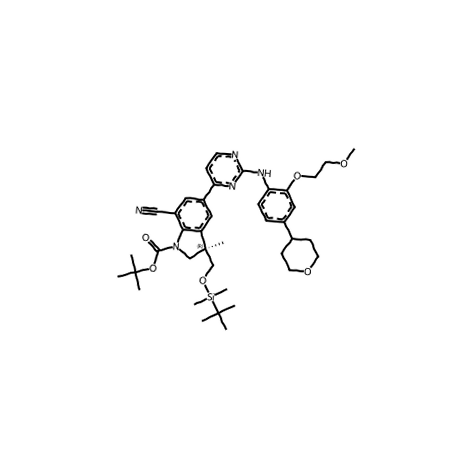 COCCOc1cc(C2CCOCC2)ccc1Nc1nccc(-c2cc(C#N)c3c(c2)[C@@](C)(CO[Si](C)(C)C(C)(C)C)CN3C(=O)OC(C)(C)C)n1